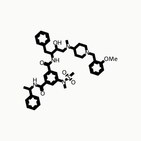 COc1ccccc1CN1CCC(N(C)CC(O)C(Cc2ccccc2)NC(=O)c2cc(C(=O)NC(C)c3ccccc3)cc(N(C)S(C)(=O)=O)c2)CC1